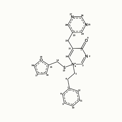 O=C1N=C[N+](CCc2ccccc2)(SCc2ccco2)C=C1Cc1cncnc1